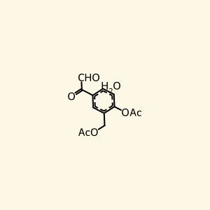 CC(=O)OCc1cc(C(=O)C=O)ccc1OC(C)=O.O